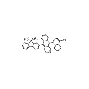 CC(C)c1ccc(-c2c3ccccc3c(-c3ccc4c(c3)C(C)(C)c3ccccc3-4)c3ccncc23)c2ccccc12